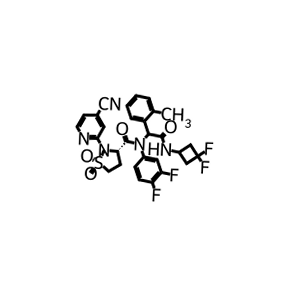 Cc1ccccc1C(C(=O)NC1CC(F)(F)C1)N(C(=O)[C@@H]1CCS(=O)(=O)N1c1cc(C#N)ccn1)c1ccc(F)c(F)c1